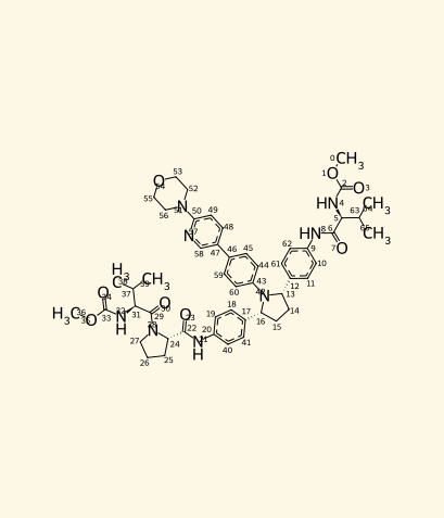 COC(=O)N[C@H](C(=O)Nc1ccc([C@@H]2CC[C@H](c3ccc(NC(=O)[C@@H]4CCCN4C(=O)[C@@H](NC(=O)OC)C(C)C)cc3)N2c2ccc(-c3ccc(N4CCOCC4)nc3)cc2)cc1)C(C)C